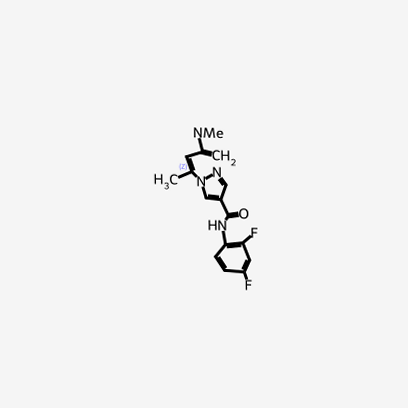 C=C(/C=C(/C)n1cc(C(=O)Nc2ccc(F)cc2F)cn1)NC